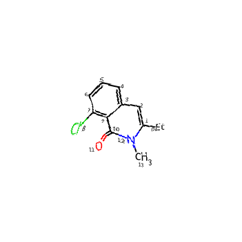 CCc1cc2cccc(Cl)c2c(=O)n1C